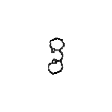 C1CCOC(CC2CCCCCO2)CC1